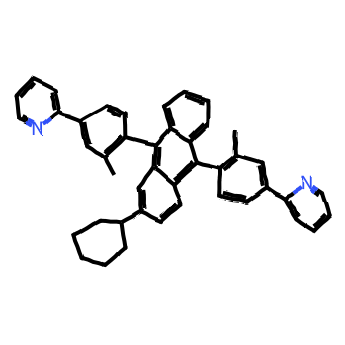 Cc1cc(-c2ccccn2)ccc1-c1c2ccccc2c(-c2ccc(-c3ccccn3)cc2C)c2cc(C3CCCCC3)ccc12